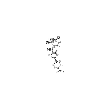 CC(C)C1CCN(c2ccc(NC3CCC(=O)NC3=O)cc2)CC1